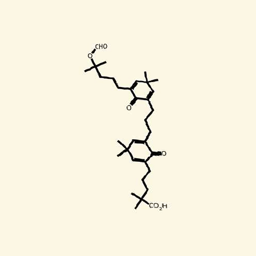 CC1(C)C=C(CCCC2=CC(C)(C)C=C(CCCC(C)(C)C(=O)O)C2=O)C(=O)C(CCCC(C)(C)OC=O)=C1